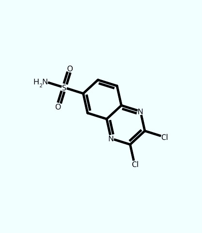 NS(=O)(=O)c1ccc2nc(Cl)c(Cl)nc2c1